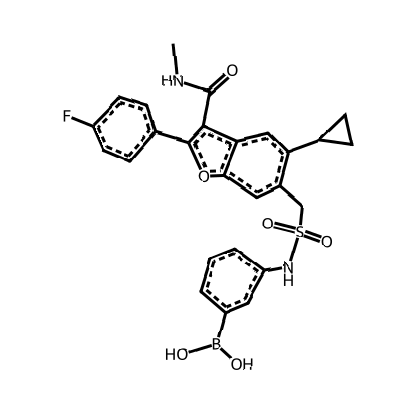 CNC(=O)c1c(-c2ccc(F)cc2)oc2cc(CS(=O)(=O)Nc3cccc(B(O)O)c3)c(C3CC3)cc12